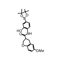 COc1ccc2c(c1)CC(C(=O)Nc1ccc(B3OC(C)(C)C(C)(C)O3)cc1O)CO2